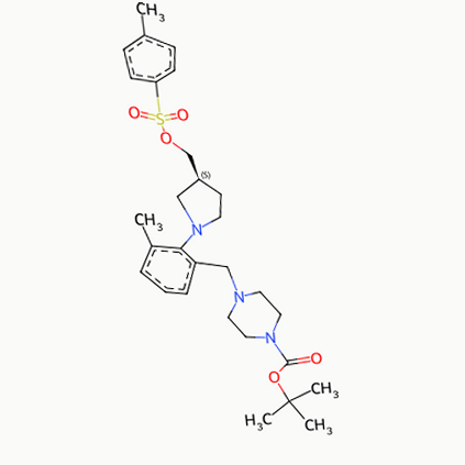 Cc1ccc(S(=O)(=O)OC[C@H]2CCN(c3c(C)cccc3CN3CCN(C(=O)OC(C)(C)C)CC3)C2)cc1